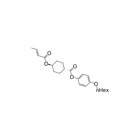 CC=CC(=O)O[C@H]1CC[C@H](C(=O)Oc2ccc(OCCCCCC)cc2)CC1